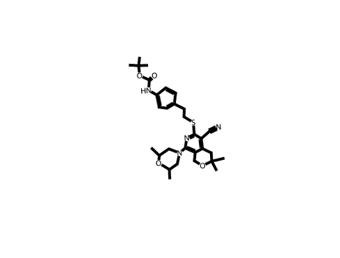 CC1CN(c2nc(SCCc3ccc(NC(=O)OC(C)(C)C)cc3)c(C#N)c3c2COC(C)(C)C3)CC(C)O1